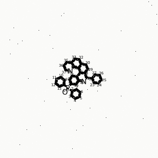 O=P(c1ccccc1)(c1ccccc1)c1ccc2c(c1)nc(-c1ccccc1)c1ccc3ccc4cccnc4c3c12